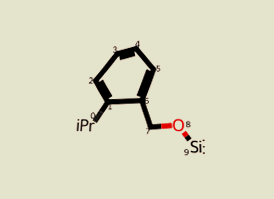 CC(C)c1ccccc1CO[Si]